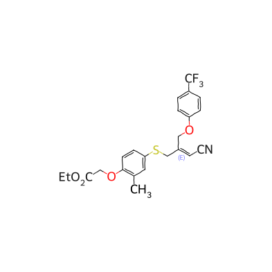 CCOC(=O)COc1ccc(SC/C(=C/C#N)COc2ccc(C(F)(F)F)cc2)cc1C